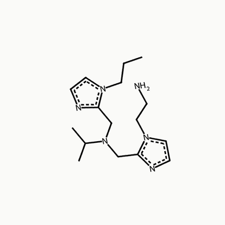 CCCn1ccnc1CN(Cc1nccn1CCN)C(C)C